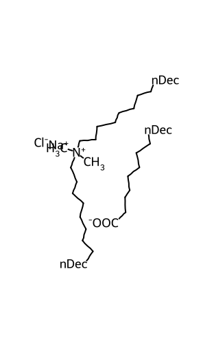 CCCCCCCCCCCCCCCCCC(=O)[O-].CCCCCCCCCCCCCCCCCC[N+](C)(C)CCCCCCCCCCCCCCCCCC.[Cl-].[Na+]